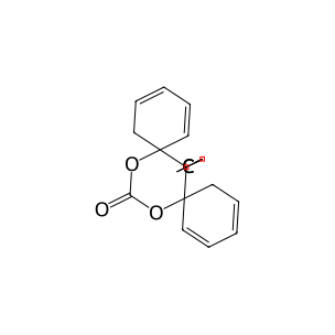 O=C1OC2(C=CC=CC2)C2(CCCCC2)C2(C=CC=CC2)O1